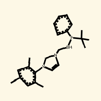 Cc1cc(C)c(N2[C]N(CBP(c3ccccc3)C(C)(C)C)C=C2)c(C)c1